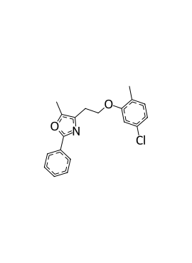 Cc1ccc(Cl)cc1OCCc1nc(-c2ccccc2)oc1C